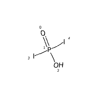 O=P(O)(I)I